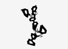 c1ccc(-c2ccc3c(c2)Sc2ccccc2N3c2ccc(-c3ccc4c(c3)c3oc5ccccc5c3n4-c3ccccc3)cc2)cc1